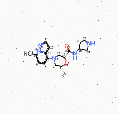 C[C@@H]1CN(c2ccc(C#N)n3nccc23)C[C@H](C(=O)NC2CCNC2)O1